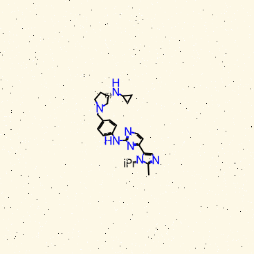 Cc1ncc(-c2ccnc(Nc3ccc(CN4CC[C@H](NC5CC5)C4)cc3)n2)n1C(C)C